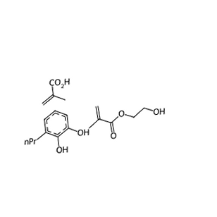 C=C(C)C(=O)O.C=C(C)C(=O)OCCO.CCCc1cccc(O)c1O